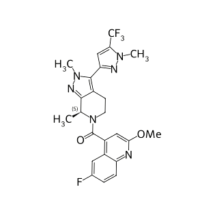 COc1cc(C(=O)N2CCc3c(nn(C)c3-c3cc(C(F)(F)F)n(C)n3)[C@@H]2C)c2cc(F)ccc2n1